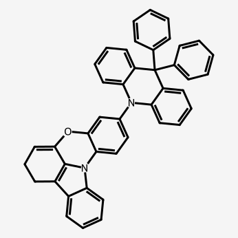 C1=C2Oc3cc(N4c5ccccc5C(c5ccccc5)(c5ccccc5)c5ccccc54)ccc3-n3c2c(c2ccccc23)CC1